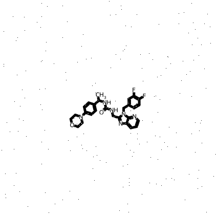 CC(NC(=O)NCc1nc2cccnc2n1Cc1ccc(F)c(F)c1)c1ccc(N2CCOCC2)cc1